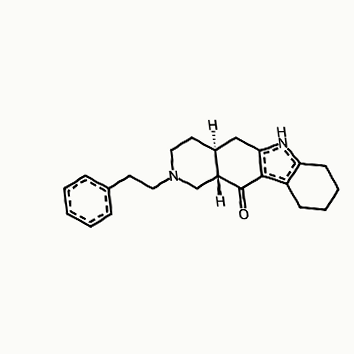 O=C1c2c([nH]c3c2CCCC3)C[C@@H]2CCN(CCc3ccccc3)C[C@@H]12